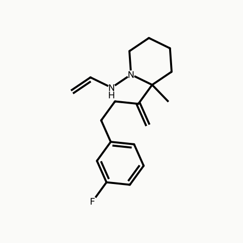 C=CNN1CCCCC1(C)C(=C)CCc1cccc(F)c1